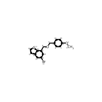 COc1ccc(COCc2cc(Br)cc3ccsc23)cc1